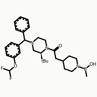 CB(O)N1CCC(CC(=O)N2CCN(C(c3ccccc3)c3cccc(OC(F)F)c3)C[C@@H]2C(C)(C)C)CC1